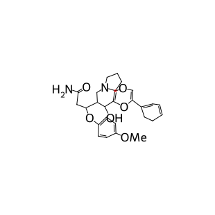 COc1ccc(OC(CC(N)=O)C(CN2CCCC2)C(O)C2=COC=C(C3=CC=CCC3)O2)cc1